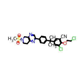 CC(C)(c1ccc(-c2cnc3c(n2)CCN(S(C)(=O)=O)C3)cc1)c1cc(Cl)c(OCCCl)c(C#N)c1